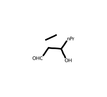 CC.CCCC(O)CC=O